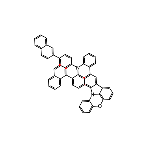 c1ccc2c(c1)Oc1cccc3c4cc(-c5ccccc5N(c5ccc(-c6ccc7ccccc7c6)cc5)c5ccccc5-c5cccc6ccccc56)ccc4n-2c13